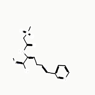 C/N=C(Cl)\C(=C/C/C=C/c1cccnc1)NC(=O)CS(C)(=O)=O